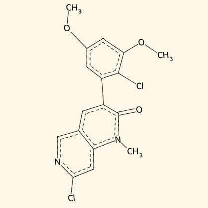 COc1cc(OC)c(Cl)c(-c2cc3cnc(Cl)cc3n(C)c2=O)c1